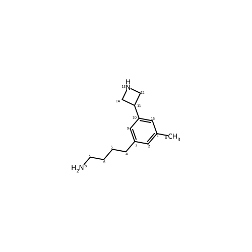 Cc1cc(CCCCN)cc(C2CNC2)c1